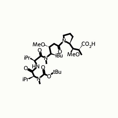 CC[C@H](C)C([C@@H](CC(=O)N1CCC[C@H]1[C@H](OC)[C@@H](C)C(=O)O)OC)N(C)C(=O)[C@@H](NC(=O)[C@H](C(C)C)N(C)C(=O)OC(C)(C)C)C(C)C